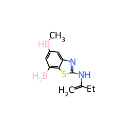 Bc1cc(BC)cc2nc(NC(=C)CC)sc12